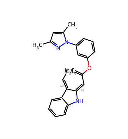 C=C(/C=c1/[nH]c2ccccc2/c1=C/C)Oc1cccc(-n2nc(C)cc2C)c1